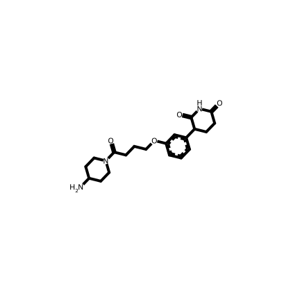 NC1CCN(C(=O)CCCOc2cccc(C3CCC(=O)NC3=O)c2)CC1